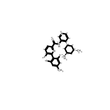 Cc1cc(F)c(-c2nc(C(=O)Nc3cnccc3[C@@H]3C[C@H](C)C[C@@H](N)C3)ccc2F)c(F)c1